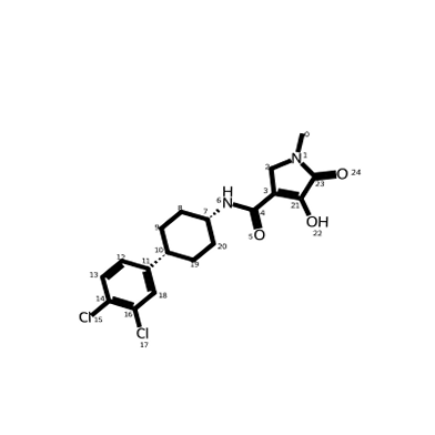 CN1CC(C(=O)N[C@H]2CC[C@@H](c3ccc(Cl)c(Cl)c3)CC2)=C(O)C1=O